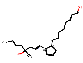 CCCCC(C)(O)C/C=C/[C@H]1C=CC[C@@H]1CCCCCCCCO